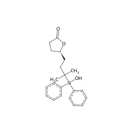 CC(C)(CC[C@H]1CCC(=O)O1)[Si](O)(c1ccccc1)c1ccccc1